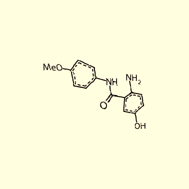 COc1ccc(NC(=O)c2cc(O)ccc2N)cc1